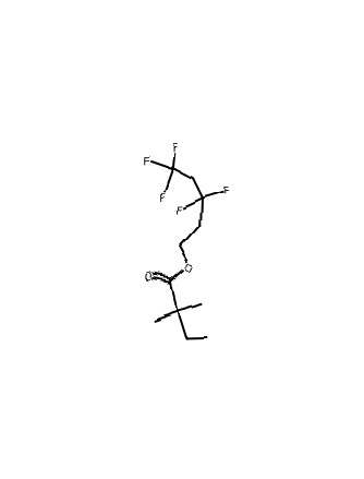 CCC(C)(C)C(=O)OCCC(F)(F)CC(F)(F)F